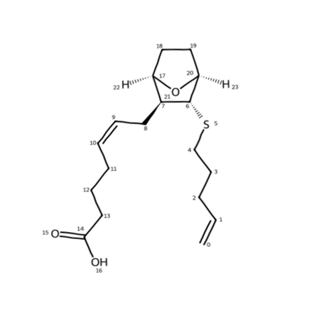 C=CCCCS[C@@H]1[C@@H](C/C=C\CCCC(=O)O)[C@H]2CC[C@@H]1O2